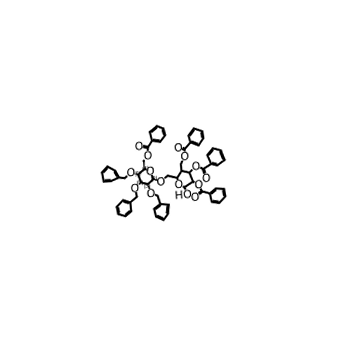 O=C(OCC1C(CO[C@@H]2O[C@H](COC(=O)c3ccccc3)[C@@H](OCc3ccccc3)[C@@H](OCc3ccccc3)[C@@H]2OCc2ccccc2)OC(O)C(OC(=O)c2ccccc2)C1OC(=O)c1ccccc1)c1ccccc1